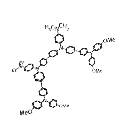 CCN(CC)c1ccc(N(c2ccc(-c3ccc(N(c4ccc(OC)cc4)c4ccc(OC)cc4)cc3)cc2)c2ccc(-c3ccc(N(c4ccc(-c5ccc(N(c6ccc(OC)cc6)c6ccc(OC)cc6)cc5)cc4)c4ccc(N(C)C)cc4)cc3)cc2)cc1